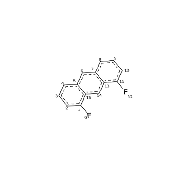 Fc1cccc2cc3cccc(F)c3cc12